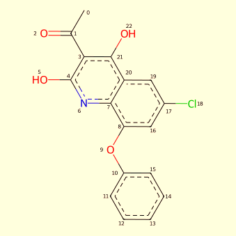 CC(=O)c1c(O)nc2c(Oc3ccccc3)cc(Cl)cc2c1O